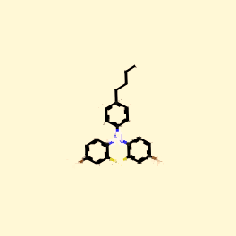 CCCCc1ccc(N2c3ccc(Br)cc3Sc3cc(Br)ccc32)cc1